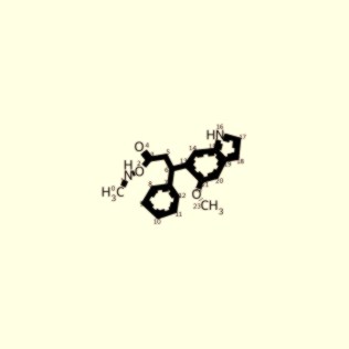 CNOC(=O)CC(c1ccccc1)c1cc2[nH]ccc2cc1OC